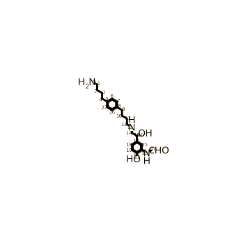 NCCCCc1ccc(CCCCNC[C@H](O)c2ccc(O)c(NC=O)c2)cc1